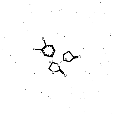 O=C1CC[C@@H](N2C(=O)OC[C@@H]2c2ccc(F)c(F)c2)C1